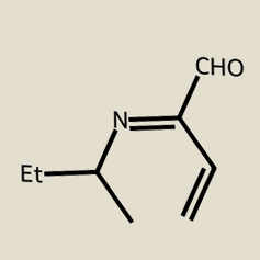 C=C/C(C=O)=N\C(C)CC